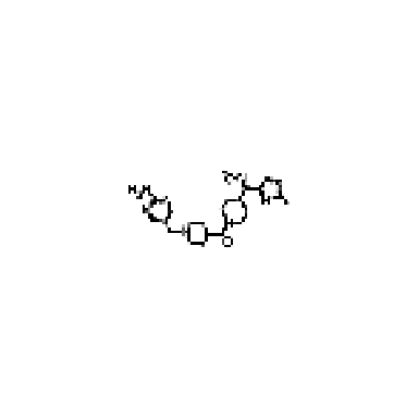 CO/N=C(/c1csc(C)n1)C1CCN(C(=O)C2CCN(Cc3cnc(N)nc3)CC2)CC1